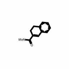 CNC(=O)C1=Cc2ccccc2CC1